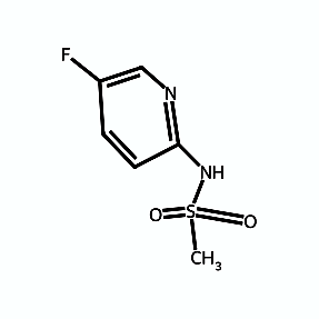 CS(=O)(=O)Nc1ccc(F)cn1